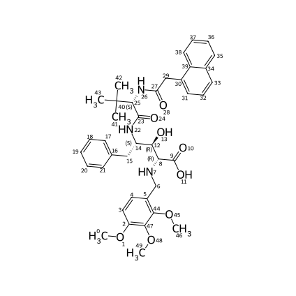 COc1ccc(CN[C@@H](C(=O)O)[C@H](O)[C@H](Cc2ccccc2)NC(=O)[C@@H](NC(=O)Cc2cccc3ccccc23)C(C)(C)C)c(OC)c1OC